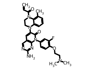 C=CC(=O)N1CCN(c2cc3cnc(N)nc3n(-c3ccc(OCCN(C)C)c(F)c3)c2=O)c2cccc(C)c21